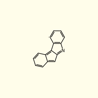 [c]1cccc2c1C1=c3ccccc3=CC1=N2